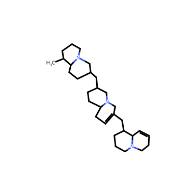 CC1CCCN2CC(CC3CCC4CC=C(CC5CCCN6CCC=CC56)CN4C3)CCC12